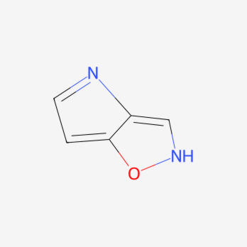 c1cc2o[nH]cc-2n1